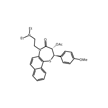 CCN(CC)CCN1C(=O)[C@H](OC(C)=O)[C@@H](c2ccc(OC)cc2)Sc2c1ccc1ccccc21